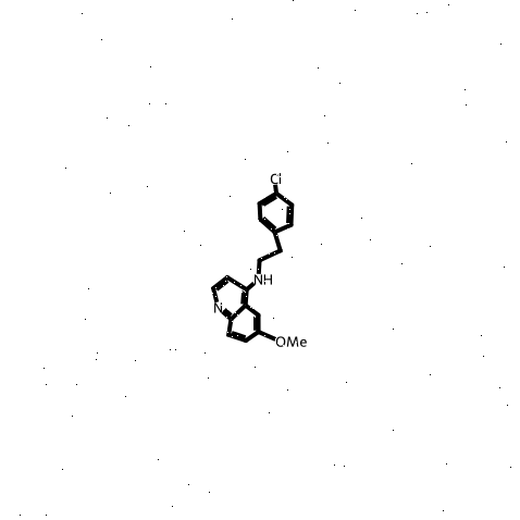 COc1ccc2nccc(NCCc3ccc(Cl)cc3)c2c1